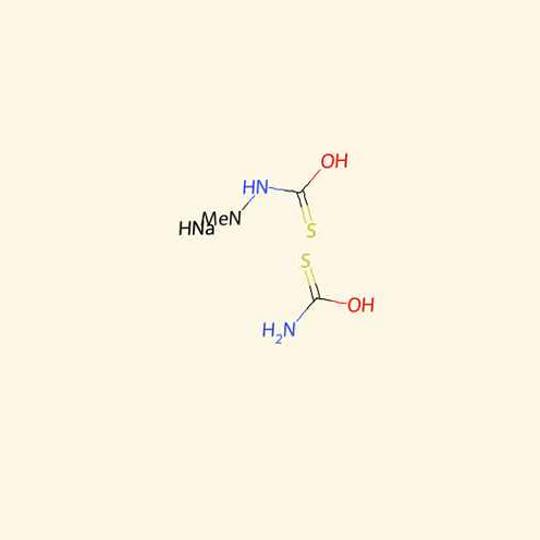 CNNC(O)=S.NC(O)=S.[NaH]